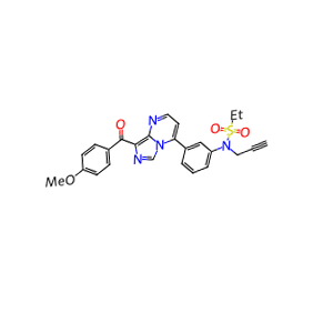 C#CCN(c1cccc(-c2ccnc3c(C(=O)c4ccc(OC)cc4)ncn23)c1)S(=O)(=O)CC